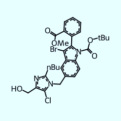 CCCCc1nc(CO)c(Cl)n1Cc1ccc2c(c1)c(Br)c(-c1ccccc1C(=O)OC)n2C(=O)OC(C)(C)C